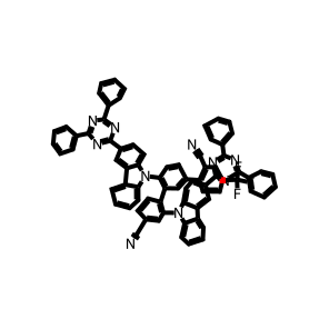 N#Cc1ccc(-c2cc(-c3ccc(C(F)(F)F)cc3C#N)ccc2-n2c3ccccc3c3cc(-c4nc(-c5ccccc5)nc(-c5ccccc5)n4)ccc32)c(-n2c3ccccc3c3cc(-c4nc(-c5ccccc5)nc(-c5ccccc5)n4)ccc32)c1